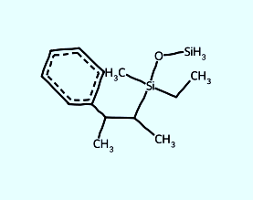 CC[Si](C)(O[SiH3])C(C)C(C)c1ccccc1